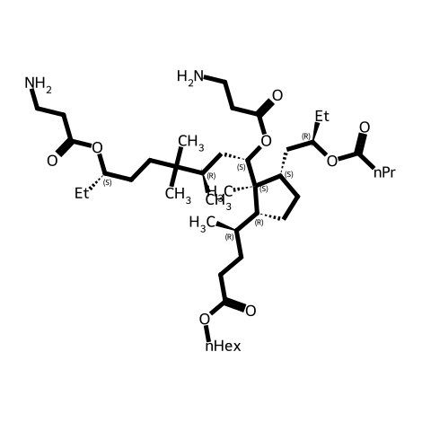 CCCCCCOC(=O)CC[C@@H](C)[C@H]1CC[C@@H](C[C@@H](CC)OC(=O)CCC)[C@]1(C)[C@H](C[C@@H](C)C(C)(C)CC[C@H](CC)OC(=O)CCN)OC(=O)CCN